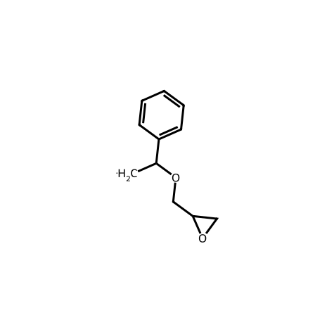 [CH2]C(OCC1CO1)c1ccccc1